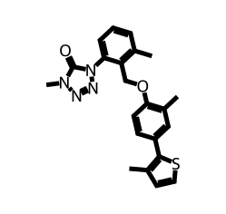 Cc1cc(-c2sccc2C)ccc1OCc1c(C)cccc1-n1nnn(C)c1=O